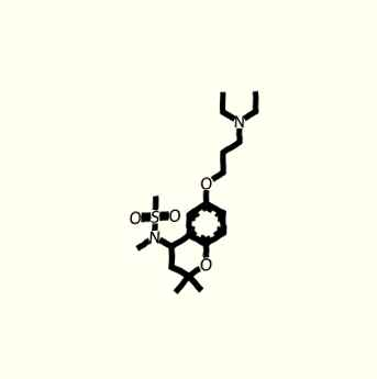 CCN(CC)CCCOc1ccc2c(c1)C(N(C)S(C)(=O)=O)CC(C)(C)O2